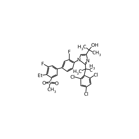 CCc1c(F)cc(-c2ccc(-n3cc(C(C)(C)O)nc3C(C)(C)c3c(Cl)cc(Cl)cc3Cl)c(F)c2)cc1S(C)(=O)=O